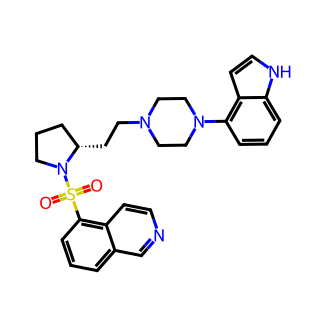 O=S(=O)(c1cccc2cnccc12)N1CCC[C@@H]1CCN1CCN(c2cccc3[nH]ccc23)CC1